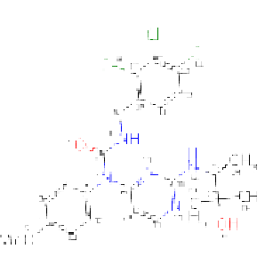 COc1ccc(N(C(=O)NCc2ccc(Cl)c(Cl)c2Cl)c2ccnc(N[C@@H](C)C(C)(C)O)n2)cc1